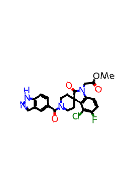 COC(=O)CN1C(=O)C2(CCN(C(=O)c3ccc4[nH]ncc4c3)CC2)c2c1ccc(F)c2Cl